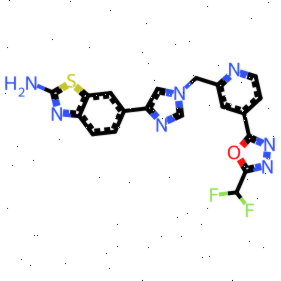 Nc1nc2ccc(-c3cn(Cc4cc(-c5nnc(C(F)F)o5)ccn4)cn3)cc2s1